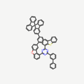 c1ccc(-c2cccc(-c3nc(-c4cccc5c4sc4ccccc45)nc(-c4cccc5oc6ccc(-c7cccc(-c8ccc9c(c8)-c8ccccc8C98c9ccccc9-c9ccccc98)c7)cc6c45)n3)c2)cc1